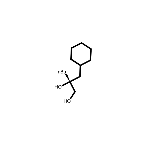 CCCC[C@](O)(CO)CC1CCCCC1